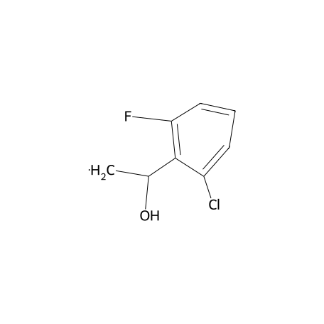 [CH2]C(O)c1c(F)cccc1Cl